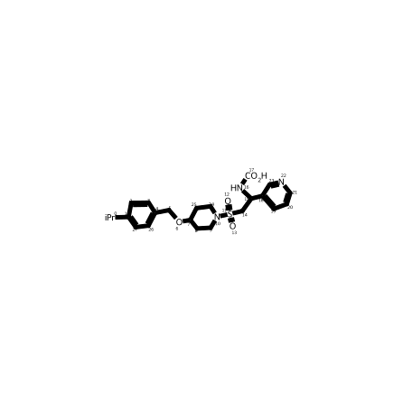 CC(C)c1ccc(COC2CCN(S(=O)(=O)CC(NC(=O)O)c3cccnc3)CC2)cc1